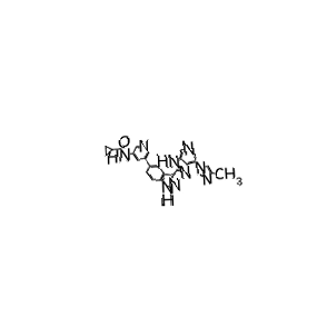 Cc1cn(-c2cncc3[nH]c(-c4n[nH]c5ccc(-c6cncc(NC(=O)C7CC7)c6)cc45)nc23)cn1